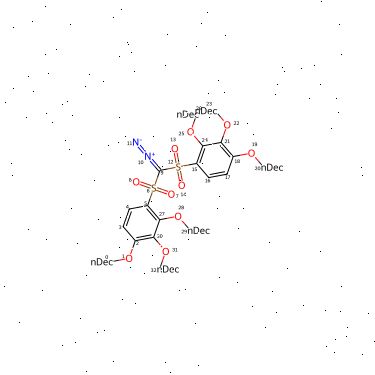 CCCCCCCCCCOc1ccc(S(=O)(=O)C(=[N+]=[N-])S(=O)(=O)c2ccc(OCCCCCCCCCC)c(OCCCCCCCCCC)c2OCCCCCCCCCC)c(OCCCCCCCCCC)c1OCCCCCCCCCC